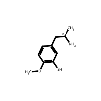 COc1ccc(C[C@@H](C)N)cc1S